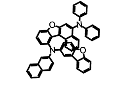 c1ccc(N(c2ccccc2)c2cc3oc4cccc(N(c5ccc6ccccc6c5)c5ccc6oc7ccccc7c6c5)c4c3c3ccccc23)cc1